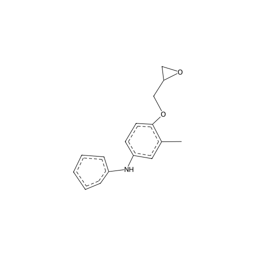 Cc1cc(Nc2ccccc2)ccc1OCC1CO1